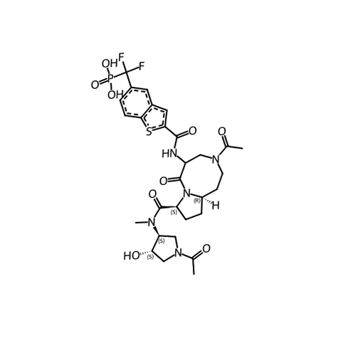 CC(=O)N1CC[C@H]2CC[C@@H](C(=O)N(C)[C@H]3CN(C(C)=O)C[C@@H]3O)N2C(=O)C(NC(=O)c2cc3cc(C(F)(F)P(=O)(O)O)ccc3s2)C1